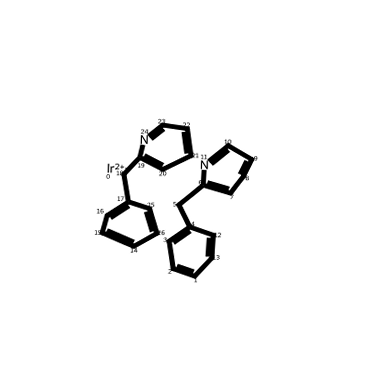 [Ir+2].c1ccc(Cc2ccccn2)cc1.c1ccc(Cc2ccccn2)cc1